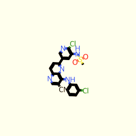 CS(=O)(=O)Nc1cc(-c2ccc3ncc(C#N)c(Nc4cccc(Cl)c4)c3n2)cnc1Cl